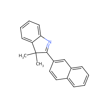 CC1(C)C(c2ccc3ccccc3c2)=Nc2ccccc21